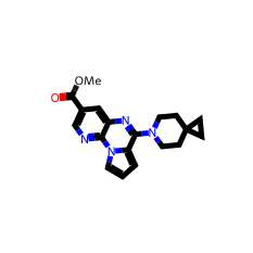 COC(=O)c1cnc2c(c1)nc(N1CCC3(CC1)CC3)c1cccn12